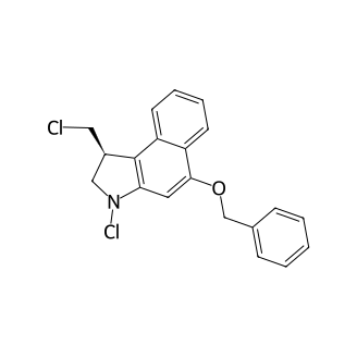 ClC[C@@H]1CN(Cl)c2cc(OCc3ccccc3)c3ccccc3c21